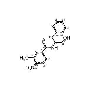 Cc1cc(C(=O)NC(CO)Cc2ccccc2)ccc1[N+](=O)[O-]